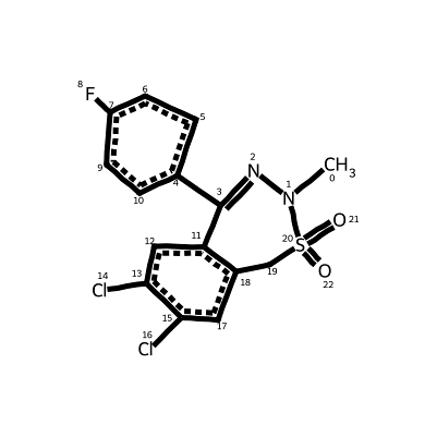 CN1N=C(c2ccc(F)cc2)c2cc(Cl)c(Cl)cc2CS1(=O)=O